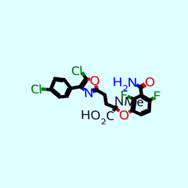 CNC(CCc1nc(-c2ccc(Cl)cc2)c(Cl)o1)(Oc1ccc(F)c(C(N)=O)c1F)C(=O)O